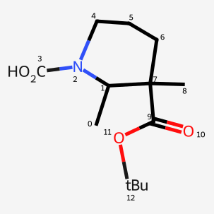 CC1N(C(=O)O)CCCC1(C)C(=O)OC(C)(C)C